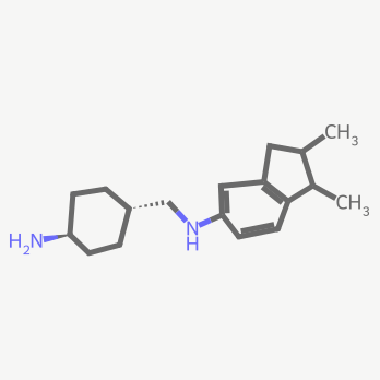 CC1Cc2cc(NC[C@H]3CC[C@H](N)CC3)ccc2C1C